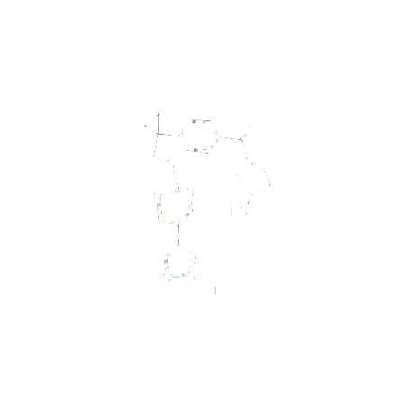 Cn1cc(-c2cnc(N3CC4(CC4)c4ccc(C(=O)N5CC[C@@H](N)C5)cc43)nc2)cn1